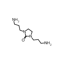 NCCCN1CCN(CCCN)C1=O